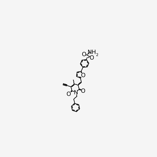 C#CC1=C(C)/C(=C\c2ccc(-c3ccc(S(N)(=O)=O)cc3)o2)C(=O)N(CCc2ccccc2)C1=O